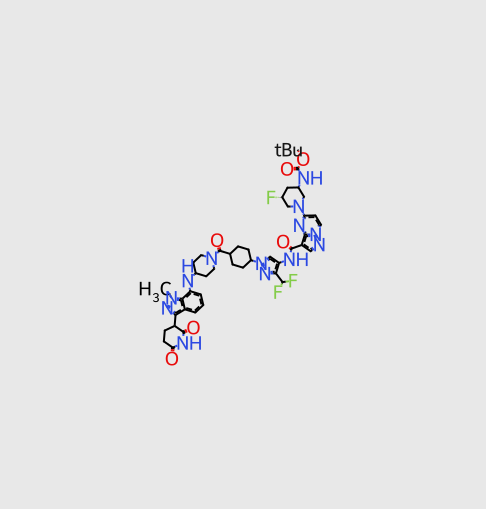 Cn1nc(C2CCC(=O)NC2=O)c2cccc(NC3CCN(C(=O)C4CCC(n5cc(NC(=O)c6cnn7ccc(N8C[C@H](F)C[C@@H](NC(=O)OC(C)(C)C)C8)nc67)c(C(F)F)n5)CC4)CC3)c21